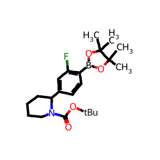 CC(C)(C)OC(=O)N1CCCCC1c1ccc(B2OC(C)(C)C(C)(C)O2)c(F)c1